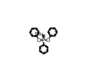 CC(C)(C)C[PH](Oc1ccccc1)(Oc1ccccc1)c1ccccc1